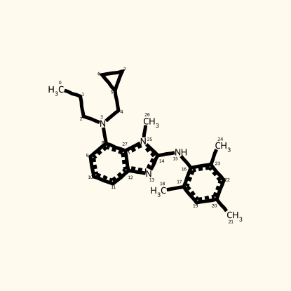 CCCN(CC1CC1)c1cccc2nc(Nc3c(C)cc(C)cc3C)n(C)c12